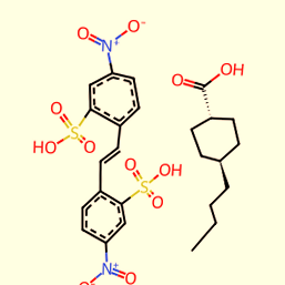 CCCC[C@H]1CC[C@H](C(=O)O)CC1.O=[N+]([O-])c1ccc(/C=C/c2ccc([N+](=O)[O-])cc2S(=O)(=O)O)c(S(=O)(=O)O)c1